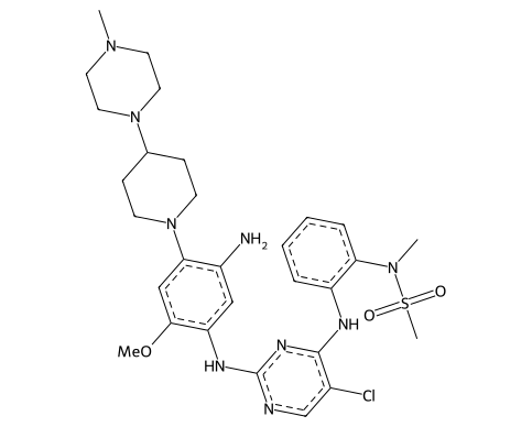 COc1cc(N2CCC(N3CCN(C)CC3)CC2)c(N)cc1Nc1ncc(Cl)c(Nc2ccccc2N(C)S(C)(=O)=O)n1